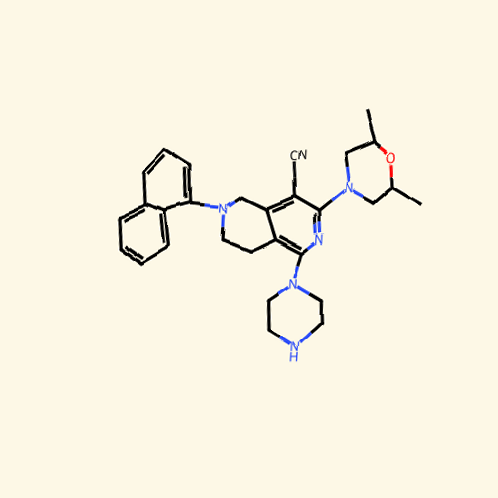 CC1CN(c2nc(N3CCNCC3)c3c(c2C#N)CN(c2cccc4ccccc24)CC3)CC(C)O1